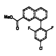 COC(=O)c1ccc2cccc(-c3c(F)cc(Cl)cc3F)c2c1